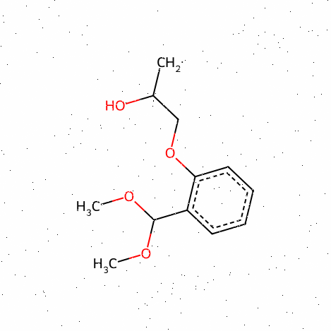 [CH2]C(O)COc1ccccc1C(OC)OC